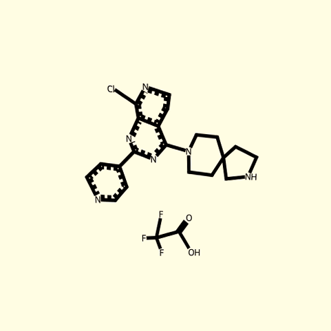 Clc1nccc2c(N3CCC4(CCNC4)CC3)nc(-c3ccncc3)nc12.O=C(O)C(F)(F)F